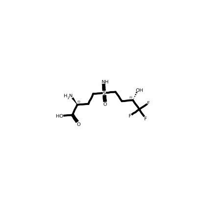 N=S(=O)(CC[C@H](N)C(=O)O)CC[C@H](O)C(F)(F)F